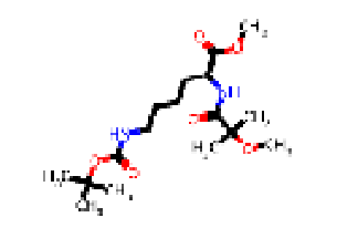 COC(=O)[C@H](CCCCNC(=O)OC(C)(C)C)NC(=O)C(C)(C)OC